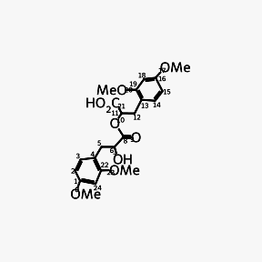 COc1ccc(CC(O)C(=O)OC(Cc2ccc(OC)cc2OC)C(=O)O)c(OC)c1